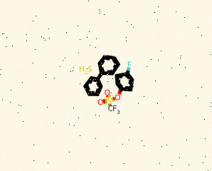 O=S(=O)(Oc1ccc(F)cc1)C(F)(F)F.S.c1ccc(-c2ccccc2)cc1